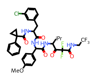 COc1ccc(C(NC(=O)C(Cc2cccc(Cl)c2)NC(=O)C2(c3ccccc3)CC2)C(=O)NC(C(=O)C(F)(F)C(=O)NCC(F)(F)F)C(C)C)cc1